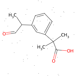 CC(C=O)c1cccc(C(C)(C)C(=O)O)c1